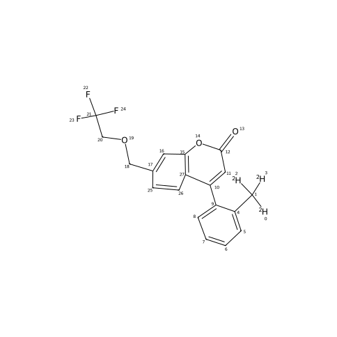 [2H]C([2H])([2H])c1ccccc1-c1cc(=O)oc2cc(COCC(F)(F)F)ccc12